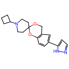 c1cc(-c2ccc3c(c2)COC2(CCN(C4CCC4)CC2)O3)[nH]n1